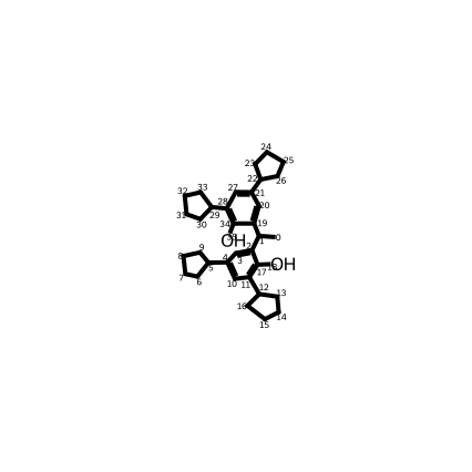 CC(c1cc(C2CCCC2)cc(C2CCCC2)c1O)c1cc(C2CCCC2)cc(C2CCCC2)c1O